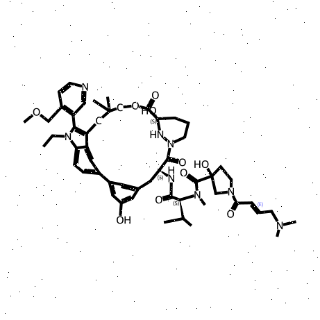 CCn1c(-c2cnccc2COC)c2c3cc(ccc31)-c1cc(O)cc(c1)C[C@H](NC(=O)[C@H](C(C)C)N(C)C(=O)C1(O)CCN(C(=O)/C=C/CN(C)C)C1)C(=O)N1CCC[C@@](O)(N1)C(=O)OCC(C)(C)C2